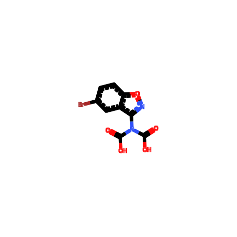 O=C(O)N(C(=O)O)c1noc2ccc(Br)cc12